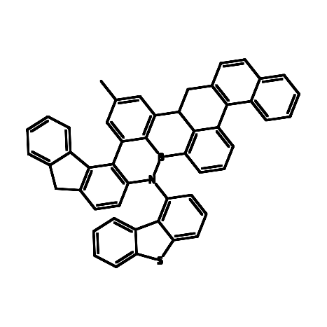 Cc1cc2c3c(c1)C1Cc4ccc5ccccc5c4-c4cccc(c41)B3N(c1cccc3sc4ccccc4c13)c1ccc3c(c1-2)-c1ccccc1C3